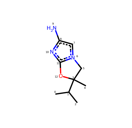 CC(C)C1(C)Cn2cc(N)nc2O1